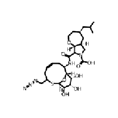 CC(C)C[C@@H]1CCO[C@H]2C(C(=O)N[C@@H]3CC=CCC(CN=[N+]=[N-])S[C@H]4O[C@H]3[C@H](O)[C@H](O)[C@H]4O)N(C(=O)O)C[C@@H]2C1